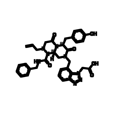 C=CCN1CC(=O)N2[C@@H](Cc3ccc(O)cc3)C(=O)N(Cc3cccc4nnn(CC(=O)O)c34)C[C@@H]2N1C(=O)NCc1ccccc1